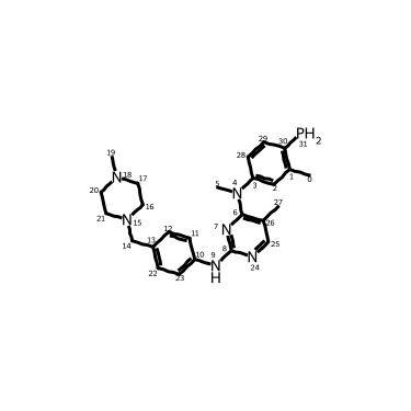 Cc1cc(N(C)c2nc(Nc3ccc(CN4CCN(C)CC4)cc3)ncc2C)ccc1P